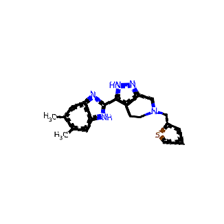 Cc1cc2nc(-c3[nH]nc4c3CCN(Cc3cccs3)C4)[nH]c2cc1C